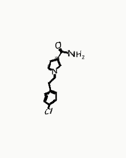 NC(=O)[C@@H]1CCN(CCc2ccc(Cl)cc2)C1